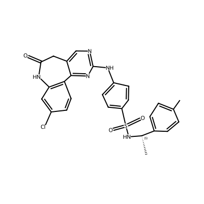 Cc1ccc([C@H](C)NS(=O)(=O)c2ccc(Nc3ncc4c(n3)-c3ccc(Cl)cc3NC(=O)C4)cc2)cc1